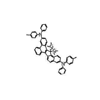 Cc1ccc(N(c2ccccc2)c2ccc3c4c(ccc3c2)-c2c(c3ccc(N(c5ccccc5)c5ccc(C)cc5)cc3c3ccccc23)C4([Si](C)(C)C)[Si](C)(C)C)cc1